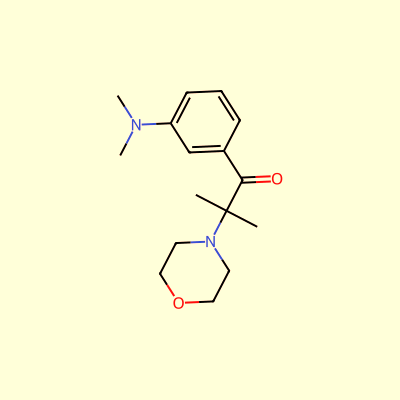 CN(C)c1cccc(C(=O)C(C)(C)N2CCOCC2)c1